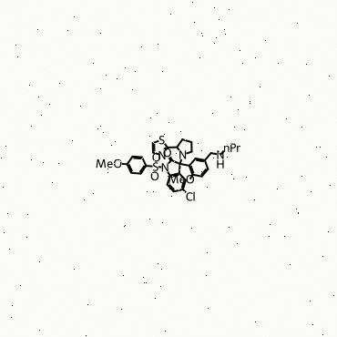 CCCNCc1ccc(OC)c(C2(N3CCCC3c3nccs3)C(=O)N(S(=O)(=O)c3ccc(OC)cc3)c3ccc(Cl)cc32)c1